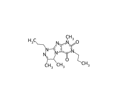 CCCN1N=C(C)C(C)n2c1nc1c2c(=O)n(CCC)c(=O)n1C